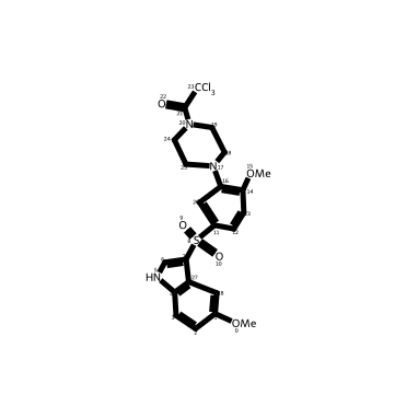 COc1ccc2[nH]cc(S(=O)(=O)c3ccc(OC)c(N4CCN(C(=O)C(Cl)(Cl)Cl)CC4)c3)c2c1